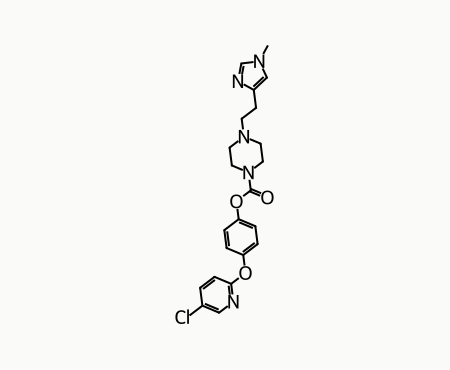 Cn1cnc(CCN2CCN(C(=O)Oc3ccc(Oc4ccc(Cl)cn4)cc3)CC2)c1